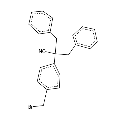 N#CC(Cc1ccccc1)(Cc1ccccc1)c1ccc(CBr)cc1